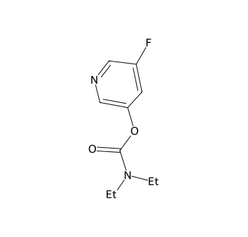 CCN(CC)C(=O)Oc1cncc(F)c1